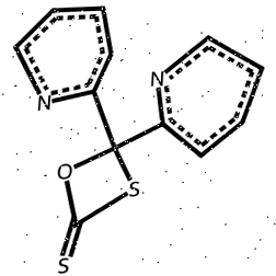 S=C1OC(c2ccccn2)(c2ccccn2)S1